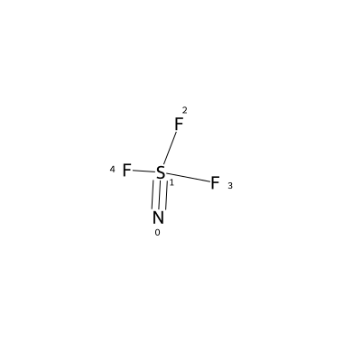 N#S(F)(F)F